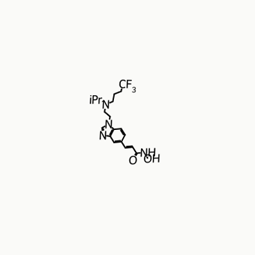 CC(C)N(CCCC(F)(F)F)CCn1cnc2cc(/C=C/C(=O)NO)ccc21